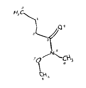 CC[CH]C(=O)N(C)OC